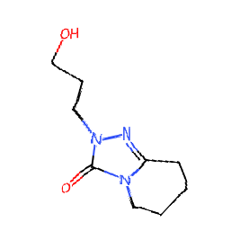 O=c1n(CCCO)nc2n1CCCC2